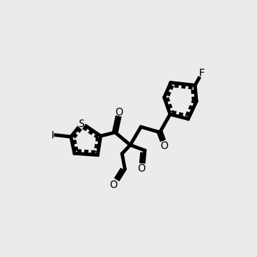 O=CCC(C=O)(CC(=O)c1ccc(F)cc1)C(=O)c1ccc(I)s1